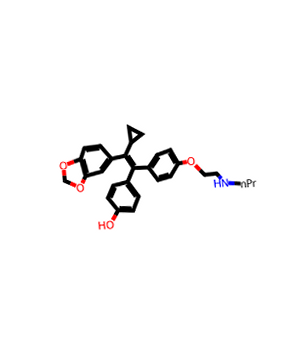 CCCNCCOc1ccc(C(=C(c2ccc3c(c2)OCO3)C2CC2)c2ccc(O)cc2)cc1